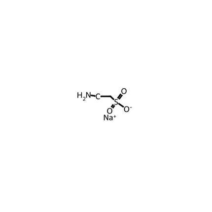 N[CH]CS(=O)(=O)[O-].[Na+]